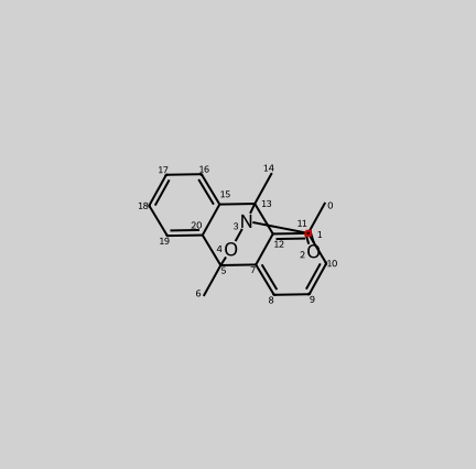 CC(=O)N1OC2(C)c3ccccc3C1(C)c1ccccc12